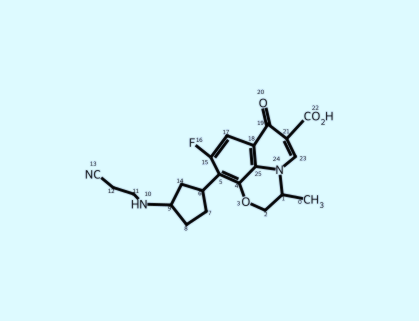 CC1COc2c(C3CCC(NCCC#N)C3)c(F)cc3c(=O)c(C(=O)O)cn1c23